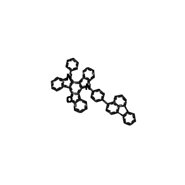 c1ccc(-n2c3ccccc3c3c4oc5ccccc5c4c4c(c5ccccc5n4-c4ccc(-c5ccc6c7c(cccc57)-c5ccccc5-6)cc4)c32)cc1